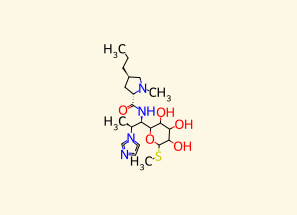 CCC[C@@H]1C[C@@H](C(=O)N[C@@H](C2OC(SC)C(O)C(O)C2O)[C@H](C)n2ccnc2)N(C)C1